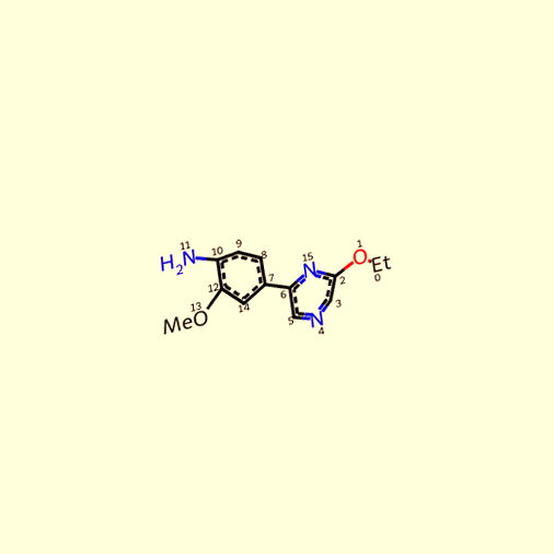 CCOc1cncc(-c2ccc(N)c(OC)c2)n1